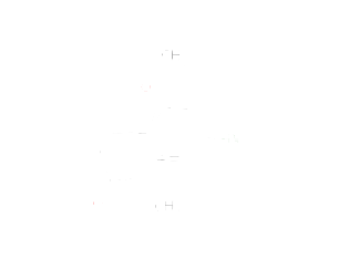 COc1cc(Br)cc2c1CCC(=O)C2C